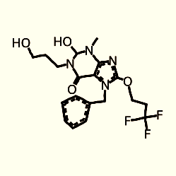 CN1c2nc(OCCC(F)(F)F)n(Cc3ccccc3)c2C(=O)N(CCCO)C1O